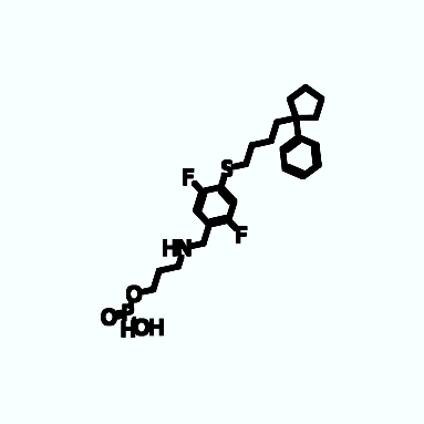 O=[PH](O)OCCCNCc1cc(F)c(SCCCCC2(c3ccccc3)CCCC2)cc1F